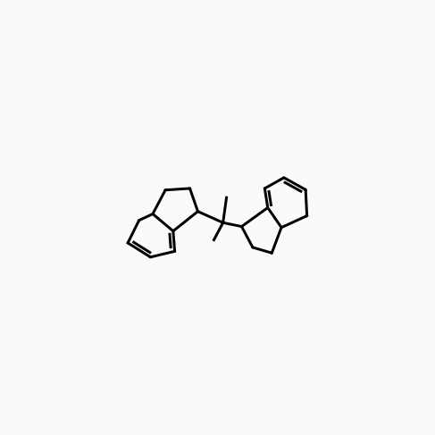 CC(C)(C1CCC2CC=CC=C21)C1CCC2CC=CC=C21